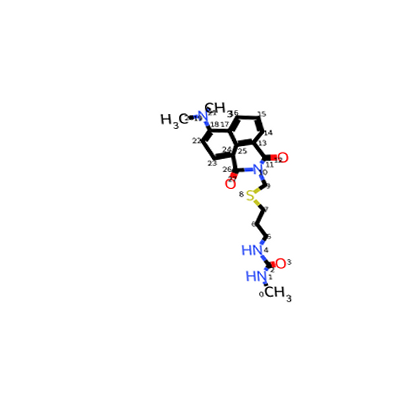 CNC(=O)NCCCSCN1C(=O)c2cccc3c(N(C)C)ccc(c23)C1=O